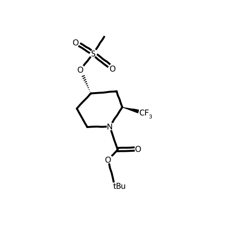 CC(C)(C)OC(=O)N1CC[C@H](OS(C)(=O)=O)C[C@H]1C(F)(F)F